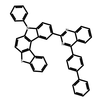 c1ccc(-c2ccc(-c3nc(-c4ccc5c(c4)c4c6c(ccc4n5-c4ccccc4)sc4ccccc46)nc4ccccc34)cc2)cc1